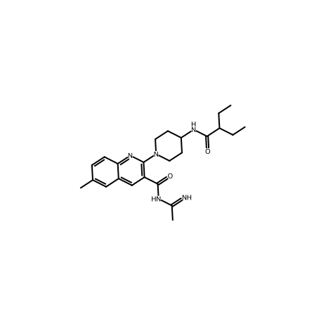 CCC(CC)C(=O)NC1CCN(c2nc3ccc(C)cc3cc2C(=O)NC(C)=N)CC1